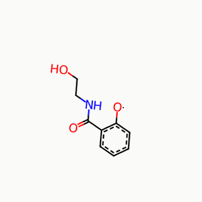 [O]c1ccccc1C(=O)NCCO